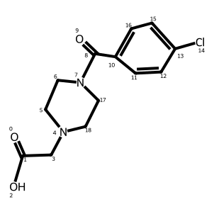 O=C(O)CN1CCN(C(=O)c2ccc(Cl)cc2)CC1